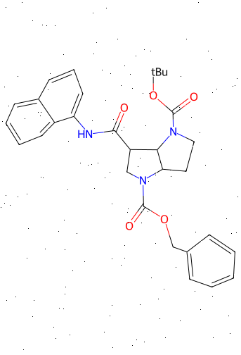 CC(C)(C)OC(=O)N1CCC2C1C(C(=O)Nc1cccc3ccccc13)CN2C(=O)OCc1ccccc1